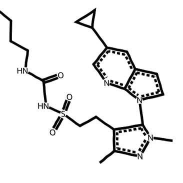 CCCCNC(=O)NS(=O)(=O)CCc1c(C)nn(C)c1-n1ccc2cc(C3CC3)cnc21